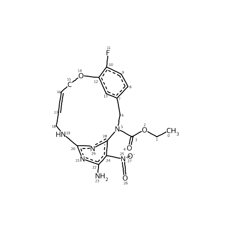 CCOC(=O)N1Cc2ccc(F)c(c2)OC/C=C/CNc2nc(N)c([N+](=O)[O-])c1n2